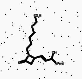 CCCCCC(O)/C=C/C1CC(=O)N1CCCCSCC(=O)O